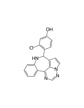 Oc1ccc(C2Nc3ccccc3-c3ncnn4ccc2c34)c(Cl)c1